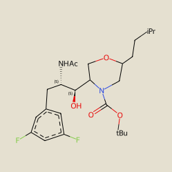 CC(=O)N[C@@H](Cc1cc(F)cc(F)c1)[C@H](O)C1COC(CCC(C)C)CN1C(=O)OC(C)(C)C